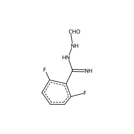 N=C(NNC=O)c1c(F)cccc1F